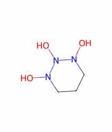 ON1CCCN(O)N1O